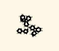 c1ccc(-c2cccc(N(c3ccc4c(c3)-c3ccccc3C43C4CCC5CC(C4)CC3C5)c3ccc4c(c3)C3(CC5CCC3C5)c3ccccc3-4)c2)cc1